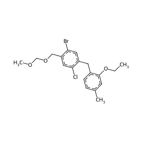 CCOc1cc(C)ccc1Cc1cc(Br)c(COCOC)cc1Cl